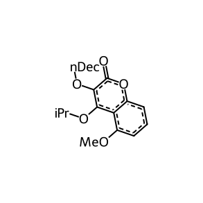 CCCCCCCCCCOc1c(OC(C)C)c2c(OC)cccc2oc1=O